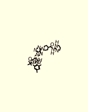 Cc1cc(C)c(S(=O)(=O)N[C@@H](Cn2cnc3c(N4CCC(C(=O)NC5=NCCCN5)CC4)ncnc32)C(=O)OC(C)(C)C)c(C)c1